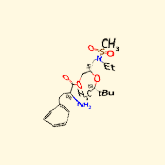 CCN(C[C@@H](COC(=O)[C@@H](N)Cc1ccccc1)O[C@@H](C)C(C)(C)C)S(C)(=O)=O